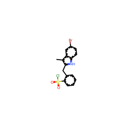 Cc1c(Cc2ccccc2S(=O)(=O)Cl)[nH]c2ccc(Br)cc12